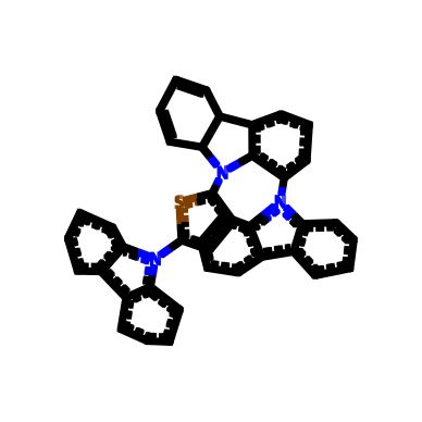 C1=CC2c3cccc(-n4c5ccccc5c5ccccc54)c3N(c3ccc(-n4c5ccccc5c5ccccc54)s3)C2C=C1